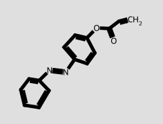 C=CC(=O)Oc1ccc(N=Nc2ccccc2)cc1